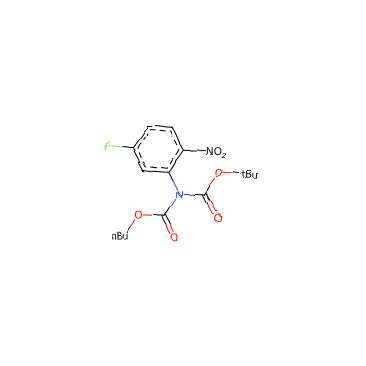 CCCCOC(=O)N(C(=O)OC(C)(C)C)c1cc(F)ccc1[N+](=O)[O-]